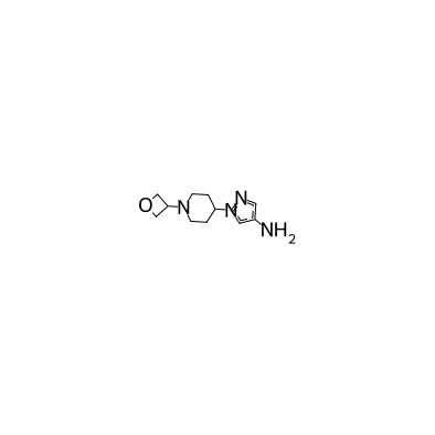 Nc1cnn(C2CCN(C3COC3)CC2)c1